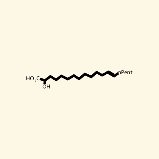 CCCCCC=CCCCCCCCCCCC(O)C(=O)O